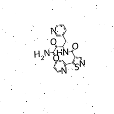 NC(=O)C(=O)C(Cc1cccnc1)NC(=O)c1cnsc1-c1ccccn1